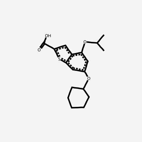 CC(C)Oc1cc(OC2CCCCC2)cc2sc(C(=O)O)cc12